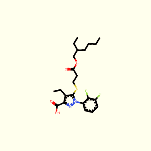 CCCCC(CC)COC(=O)CCSc1c(CC)c(C(=O)O)nn1-c1cccc(F)c1F